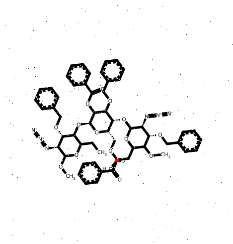 CCC1OC(OC)[C@@H](N=[N+]=[N-])[C@H](OCc2ccccc2)C1O[C@@H]1O[C@@H](COC(C)=O)[C@@H](OC2OC(COC(=O)c3ccccc3)C(OC)[C@@H](OCc3ccccc3)[C@@H]2N=[N+]=[N-])C(OCc2ccccc2)C1OC(=O)c1ccccc1